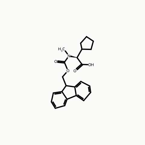 CN(C(=O)OCC1c2ccccc2-c2ccccc21)[C@H](C(=O)O)C1CCCC1